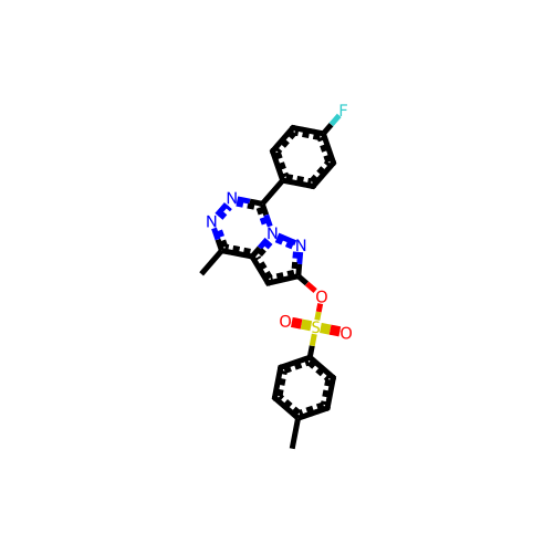 Cc1ccc(S(=O)(=O)Oc2cc3c(C)nnc(-c4ccc(F)cc4)n3n2)cc1